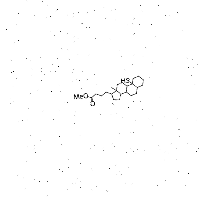 COC(=O)CCCC1CCC2C3CCC4CCCCC4(S)C3CCC12C